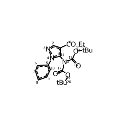 CCOC(=O)c1cnn(-c2ccccc2)c1N(C(=O)OC(C)(C)C)C(=O)OC(C)(C)C